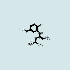 CCc1ccc(F)c(N/C(=C\N)CC(C)C)c1